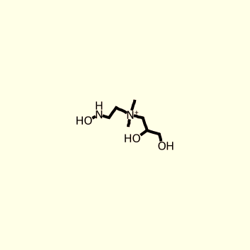 C[N+](C)(CCNO)CC(O)CO